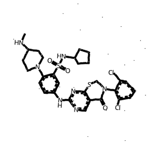 CNC1CCN(c2ccc(Nc3ncc4c(n3)SCN(c3c(Cl)cccc3Cl)C4=O)cc2S(=O)(=O)NC2CCCC2)CC1